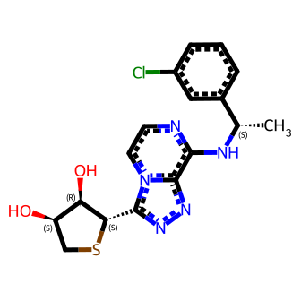 C[C@H](Nc1nccn2c([C@@H]3SC[C@@H](O)[C@H]3O)nnc12)c1cccc(Cl)c1